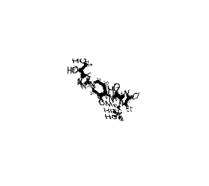 CCc1c(Cl)nc(C(=O)N[C@@H]2CCN(c3nnc(C(O)CO)s3)C[C@@H]2OC)n1COP(=O)(O)O